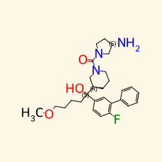 COCCCC[C@@](O)(c1ccc(F)c(-c2ccccc2)c1)[C@@H]1CCCN(C(=O)N2CC[C@H](N)C2)C1